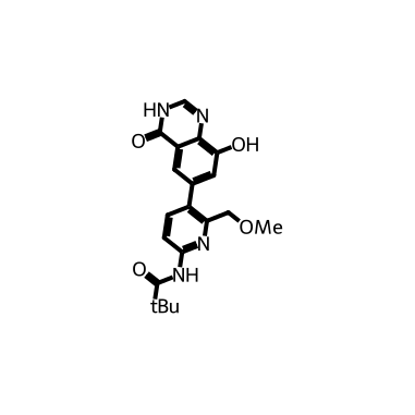 COCc1nc(NC(=O)C(C)(C)C)ccc1-c1cc(O)c2nc[nH]c(=O)c2c1